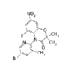 Cc1cc(Br)cnc1N1C(=O)C(C)(C)Oc2cc([N+](=O)[O-])cc(F)c21